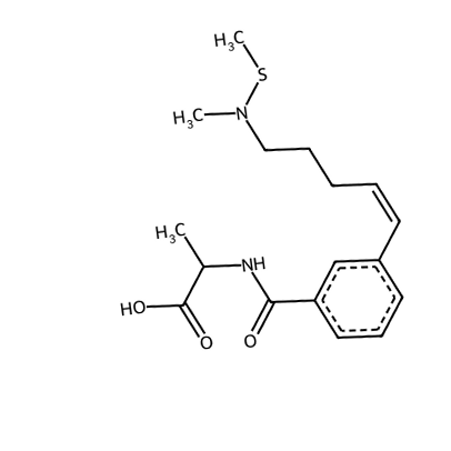 CSN(C)CCC/C=C\c1cccc(C(=O)NC(C)C(=O)O)c1